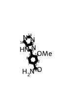 COc1cc(C(N)=O)ccc1-c1nc2ncncc2[nH]1